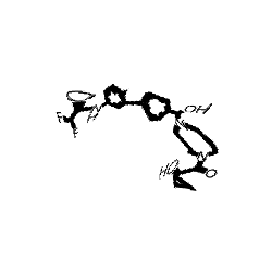 O=C(Nc1cccc(-c2ccc(C(O)N3CCN(C(=O)C4(O)CC4)CC3)cc2)c1)C(F)F